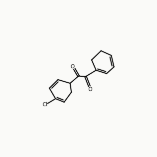 O=C(C(=O)C1C=CC(Cl)=CC1)C1=CC=CCC1